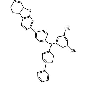 CC1=CC(C)CC(N(C2=CC=C(c3ccccc3)CC2)c2ccc(-c3ccc4c(c3)SC3C=CCCC43)cc2)=C1